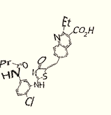 CCc1nc2ccc(C=C3SC(Nc4cc(NC(=O)C(C)C)ccc4Cl)=NC3=O)cc2cc1C(=O)O